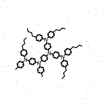 CCCCc1ccc(N(c2ccc(C)cc2)c2ccc(N(c3ccc(C)cc3)c3ccc(N(c4ccc(N(c5ccc(CCCC)cc5)c5ccc(CCCC)cc5)cc4)c4ccc(N(c5ccc(CCCC)cc5)c5ccc(CCCC)cc5)cc4)cc3)cc2)cc1